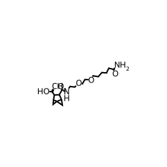 C=C(O)C1C(C(=O)NCCOCCOCCCCCC(N)=O)C2CC23CC13